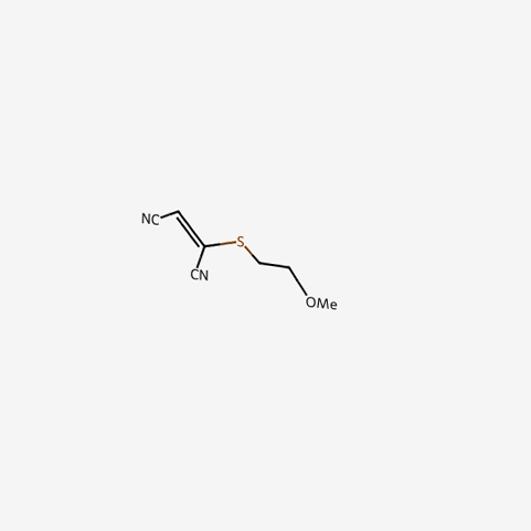 COCCS/C(C#N)=C/C#N